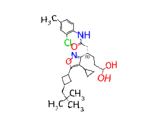 Cc1ccc(NC(=O)C[C@H](CCC(O)O)c2noc([C@H]3C[C@@H](CC(C)(C)C)C3)c2C2CC2)c(Cl)c1